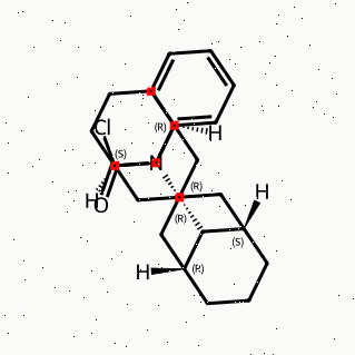 O=C(Cl)N(c1ccccc1)[C@H]1C[C@H]2CCC[C@@H](C1)C2[C@H]1C[C@@H]2CCC[C@@H](C2)C1